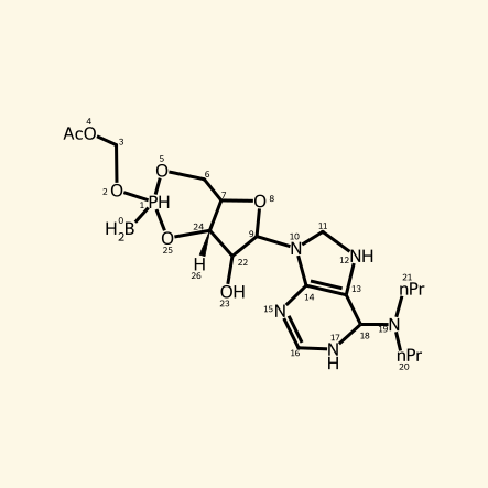 B[PH]1(OCOC(C)=O)OCC2OC(N3CNC4=C3N=CNC4N(CCC)CCC)C(O)[C@@H]2O1